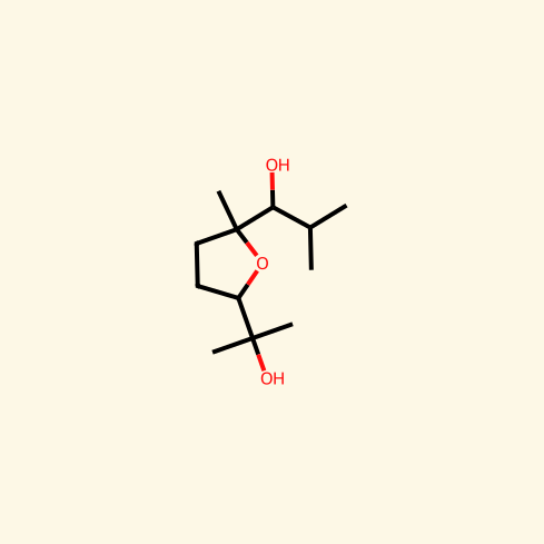 CC(C)C(O)C1(C)CCC(C(C)(C)O)O1